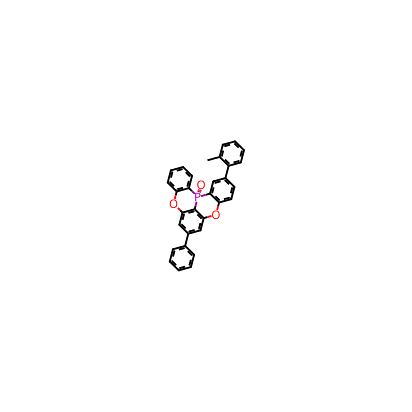 Cc1ccccc1-c1ccc2c(c1)P1(=O)c3ccccc3Oc3cc(-c4ccccc4)cc(c31)O2